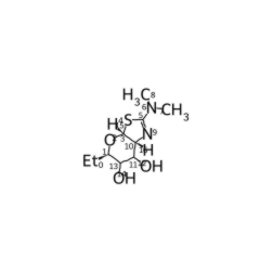 CC[C@H]1O[C@@H]2SC(N(C)C)=N[C@@H]2C(O)C1O